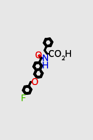 O=C(N[C@@H](Cc1ccccc1)C(=O)O)c1ccc2cc(OCc3ccc(F)cc3)ccc2c1